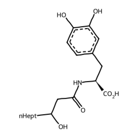 CCCCCCCC(O)CC(=O)N[C@@H](Cc1ccc(O)c(O)c1)C(=O)O